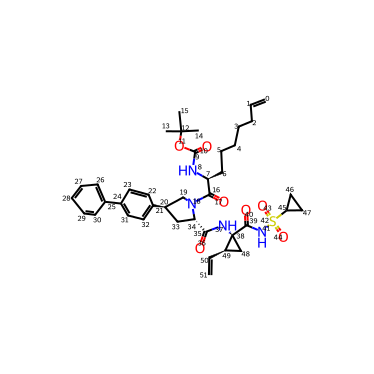 C=CCCCCC[C@H](NC(=O)OC(C)(C)C)C(=O)N1C[C@H](c2ccc(-c3ccccc3)cc2)C[C@H]1C(=O)N[C@]1(C(=O)NS(=O)(=O)C2CC2)C[C@H]1C=C